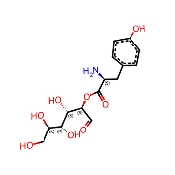 N[C@@H](Cc1ccc(O)cc1)C(=O)O[C@@H](C=O)[C@@H](O)[C@H](O)[C@H](O)CO